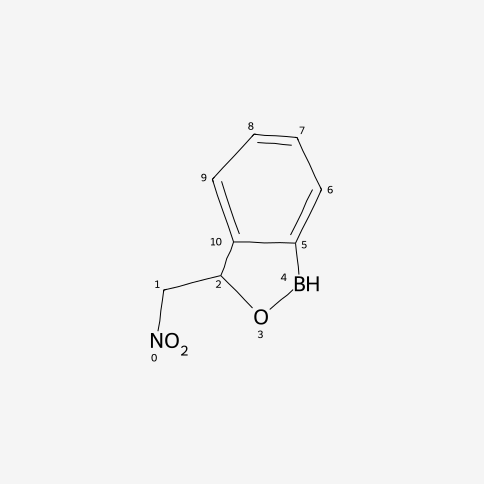 O=[N+]([O-])CC1OBc2ccccc21